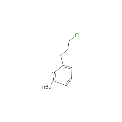 CCCCc1[c]c(CCCCl)ccc1